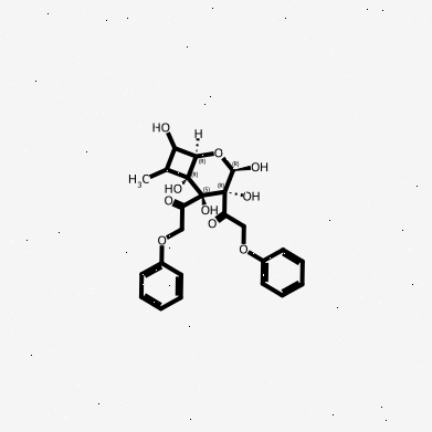 CC1C(O)[C@H]2O[C@@H](O)[C@@](O)(C(=O)COc3ccccc3)[C@](O)(C(=O)COc3ccccc3)[C@@]12O